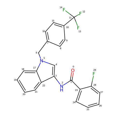 O=C(Nc1cn(Cc2ccc(C(F)(F)F)cc2)c2ccccc12)c1ccccc1F